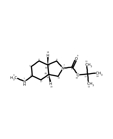 CNC1CC[C@@H]2CN(C(=O)OC(C)(C)C)C[C@@H]2C1